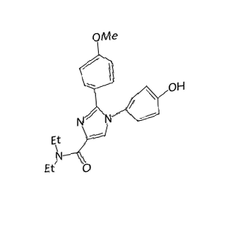 CCN(CC)C(=O)c1cn(-c2ccc(O)cc2)c(-c2ccc(OC)cc2)n1